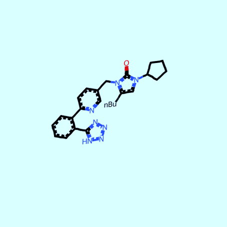 CCCCc1cn(C2CCCC2)c(=O)n1Cc1ccc(-c2ccccc2-c2nnn[nH]2)nc1